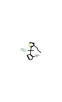 CCCc1ccsc1C(C)(C)C1=[C]([Ti+2])CC=C1.[Cl-].[Cl-]